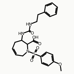 COc1ccc(S(=O)(=O)N2CC=CCC(NC(=O)NCCc3ccccc3)C2C(=O)O)cc1